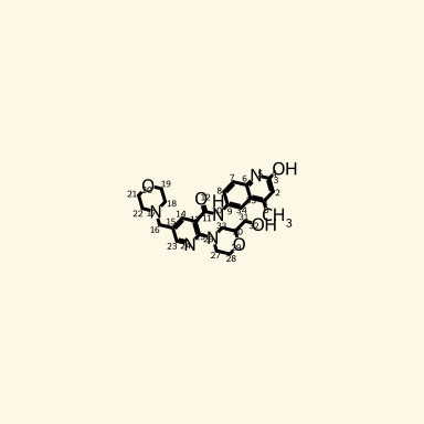 Cc1cc(O)nc2ccc(NC(=O)c3cc(CN4CCOCC4)cnc3N3CCOC(CO)C3)cc12